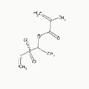 C=CS(=O)(=O)C(C)OC(=O)C(=C)C